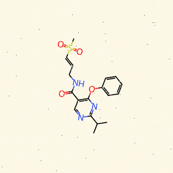 CC(C)c1ncc(C(=O)NCC=CS(C)(=O)=O)c(Oc2ccccc2)n1